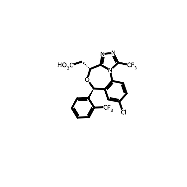 O=C(O)C[C@H]1O[C@H](c2ccccc2C(F)(F)F)c2cc(Cl)ccc2-n2c1nnc2C(F)(F)F